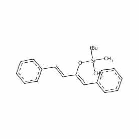 CC(C)(C)[Si](C)(C)OC(C=Cc1ccccc1)=Cc1ccccc1